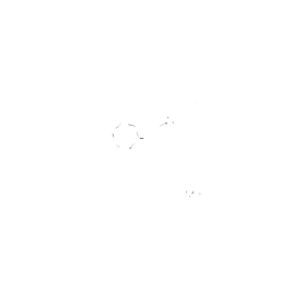 COCO[C@H]1C[C@@](C=N[S@+]([O-])C(C)(C)C)(c2ccc(Cl)cc2)C1